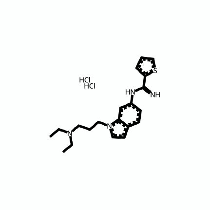 CCN(CC)CCCn1ccc2ccc(NC(=N)c3cccs3)cc21.Cl.Cl